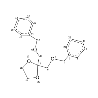 c1ccc(COCC2(COCc3ccccc3)OCCO2)cc1